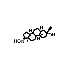 C#C[C@]1(O)CC[C@@]2(C)[C@@H](CC[C@@H]3[C@@H]2CC[C@]2(C)C(=NO)CC[C@@H]32)C1